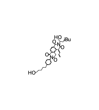 C=C/C=C1/C(=O)N(C(CO)CC(C)CC)C(=O)c2ccc3c(c21)CC(=O)N(c1ccc(CCCCCO)cc1)C3=O